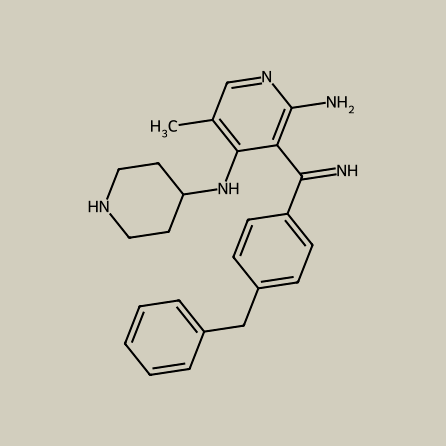 Cc1cnc(N)c(C(=N)c2ccc(Cc3ccccc3)cc2)c1NC1CCNCC1